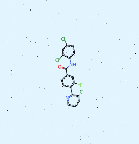 O=C(Nc1ccc(Cl)cc1Cl)c1ccc(-c2ncccc2Cl)c(F)c1